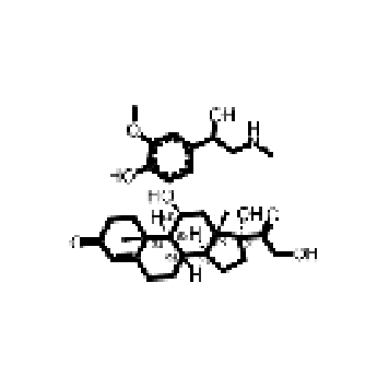 CNCC(O)c1ccc(O)c(OC)c1.C[C@]12CCC(=O)C=C1CC[C@@H]1[C@@H]2[C@@H](O)C[C@@]2(C)[C@H]1CC[C@]2(O)C(=O)CO